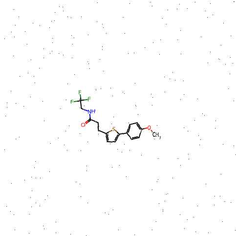 COc1ccc(-c2ccc(CCC(=O)NCC(F)(F)F)s2)cc1